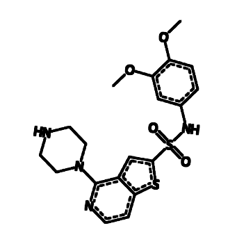 COc1ccc(NS(=O)(=O)c2cc3c(N4CCNCC4)nccc3s2)cc1OC